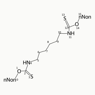 CCCCCCCCCOC(=S)NCCCCCCNC(=S)OCCCCCCCCC